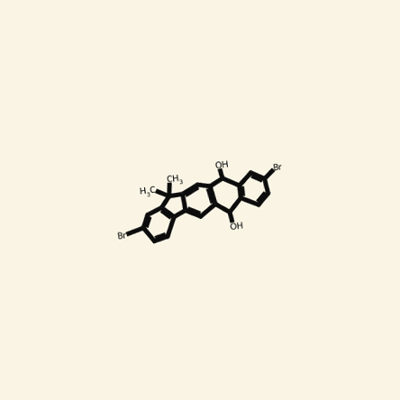 CC1(C)c2cc(Br)ccc2-c2cc3c(cc21)C(O)c1cc(Br)ccc1C3O